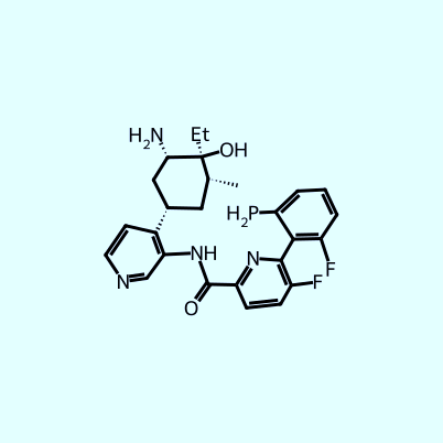 CC[C@]1(O)[C@H](C)C[C@H](c2ccncc2NC(=O)c2ccc(F)c(-c3c(F)cccc3P)n2)C[C@@H]1N